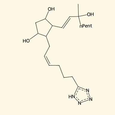 CCCCCC(C)(O)C=CC1C(O)CC(O)C1C/C=C\CCCc1nnn[nH]1